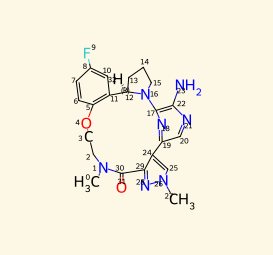 CN1CCOc2ccc(F)cc2[C@H]2CCCN2c2nc(cnc2N)-c2cn(C)nc2C1=O